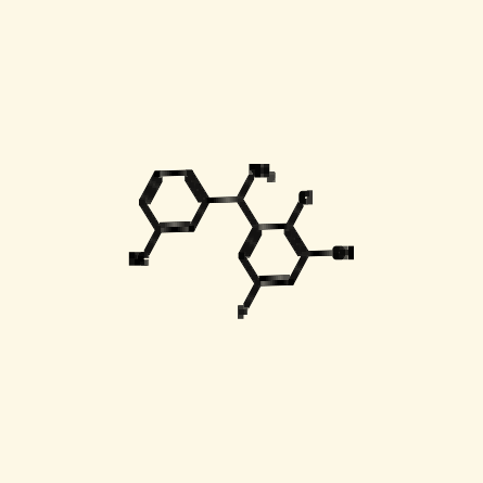 N#Cc1cccc(C(N)c2cc(F)cc(O)c2Cl)c1